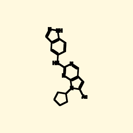 CC(=O)c1cc2cnc(Nc3ccc4[nH]ncc4c3)nc2n1C1CCCC1